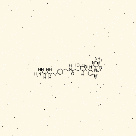 CN(Cc1cnc2nc(N)nc(N)c2n1)c1ccc(C(=O)N[C@@H](CCC(=O)NCCc2ccc(CCNC(=N)NC(=N)N)cc2)C(=O)O)cc1